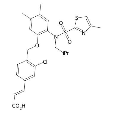 Cc1csc(S(=O)(=O)N(CC(C)C)c2cc(C)c(C)cc2OCc2ccc(/C=C/C(=O)O)cc2Cl)n1